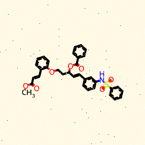 COC(=O)/C=C/c1ccccc1OCCC(/C=C/c1cccc(NS(=O)(=O)c2ccccc2)c1)OC(=O)c1ccccc1